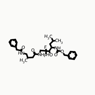 CC(C)CC(NC(=O)OCc1ccccc1)C(O)C(F)(F)CNC(=O)CC(C)CNC(=O)Cc1ccccc1